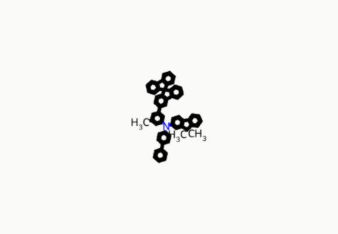 Cc1cc(-c2ccc3c(c2)-c2ccccc2C32c3ccccc3-c3ccccc32)cc(N(c2ccc(-c3ccccc3)cc2)c2ccc3c(c2)C(C)(C)c2ccccc2-3)c1